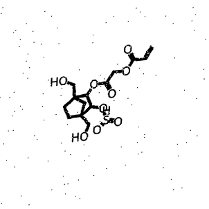 C=CC(=O)OCC(=O)OC1C(O[SH](=O)=O)C2(CO)CCC1(CO)C2